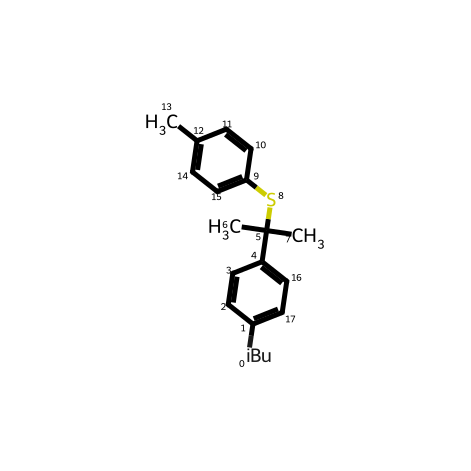 CCC(C)c1ccc(C(C)(C)Sc2ccc(C)cc2)cc1